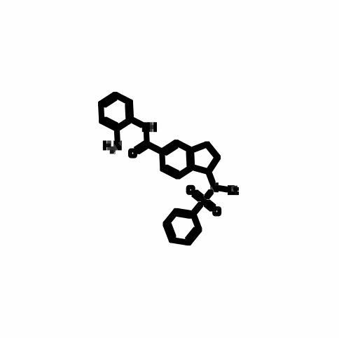 CCN(C1CCc2cc(C(=O)Nc3ccccc3N)ccc21)S(=O)(=O)c1ccccc1